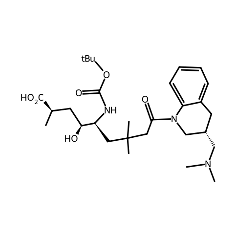 C[C@H](C[C@H](O)[C@H](CC(C)(C)CC(=O)N1C[C@@H](CN(C)C)Cc2ccccc21)NC(=O)OC(C)(C)C)C(=O)O